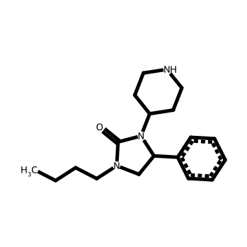 CCCCN1CC(c2ccccc2)N(C2CCNCC2)C1=O